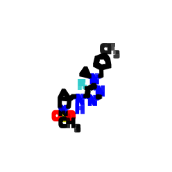 CS(=O)(=O)N1CC2CC2(CNc2ncnc(N(Cc3ccc(C(F)(F)F)cc3)C3CC3)c2F)C1